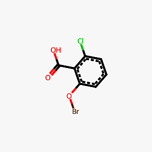 O=C(O)c1c(Cl)cccc1OBr